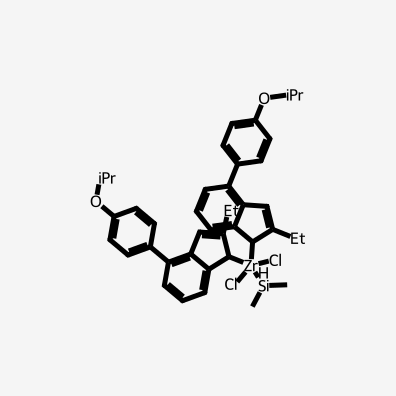 CCC1=Cc2c(-c3ccc(OC(C)C)cc3)cccc2[CH]1[Zr]([Cl])([Cl])([CH]1C(CC)=Cc2c(-c3ccc(OC(C)C)cc3)cccc21)[SiH](C)C